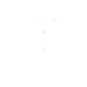 CC(C)c1cccc(CNC(=O)O)n1